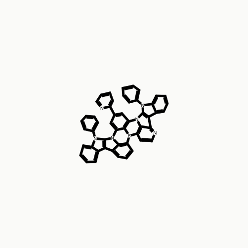 c1ccc(-n2c3ccccc3c3c4cccc5c4n(c32)-c2cc(-c3ccccn3)cc3c2B5c2ccnc4c5c6ccccc6n(-c6ccccc6)c5n-3c24)cc1